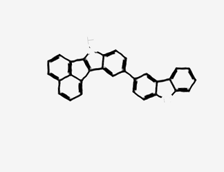 c1cc2c3c(cccc3c1)-c1c-2[nH]c2ccc(-c3ccc4oc5ccccc5c4c3)cc12